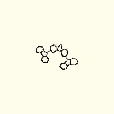 C1=Cc2c(n(-c3ccc4oc5ccc(-n6c7ccccc7c7ccccc76)cc5c4c3)c3ccccc23)CC1